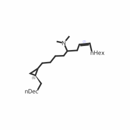 CCCCCC/C=C\CC(CCCCC1C[C@@H]1CCCCCCCCCCC)N(C)C